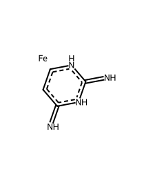 N=c1cc[nH]c(=N)[nH]1.[Fe]